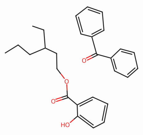 CCCC(CC)CCOC(=O)c1ccccc1O.O=C(c1ccccc1)c1ccccc1